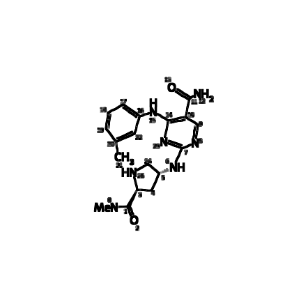 CNC(=O)[C@@H]1C[C@@H](Nc2ncc(C(N)=O)c(Nc3cccc(C)c3)n2)CN1